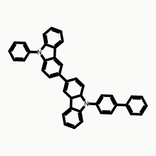 C1=CC2C(C=C1c1ccc3c(c1)c1ccccc1n3-c1ccccc1)c1ccccc1N2c1ccc(-c2ccccc2)cc1